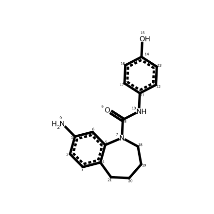 Nc1ccc2c(c1)N(C(=O)Nc1ccc(O)cc1)CCCC2